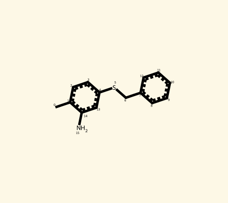 Cc1ccc(SCc2ccccc2)cc1N